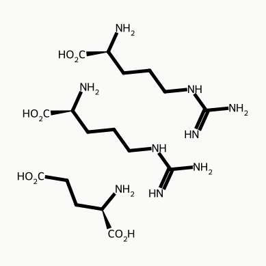 N=C(N)NCCC[C@H](N)C(=O)O.N=C(N)NCCC[C@H](N)C(=O)O.N[C@H](CCC(=O)O)C(=O)O